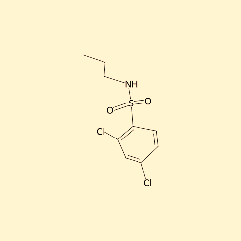 CCCNS(=O)(=O)c1ccc(Cl)cc1Cl